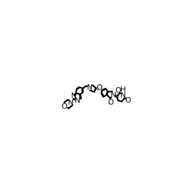 O=C1CC[C@@H](N2Cc3cc(O[C@H]4CCN(Cc5ccc6nc(N7CCOCC7)ncc6c5)C4)ccc3C2=O)C(=O)N1